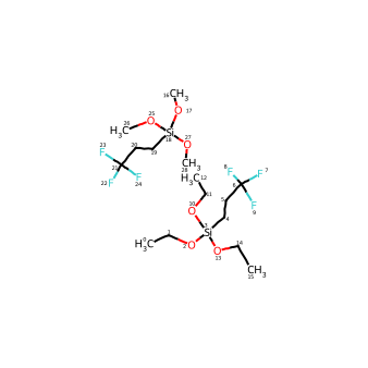 CCO[Si](CCC(F)(F)F)(OCC)OCC.CO[Si](CCC(F)(F)F)(OC)OC